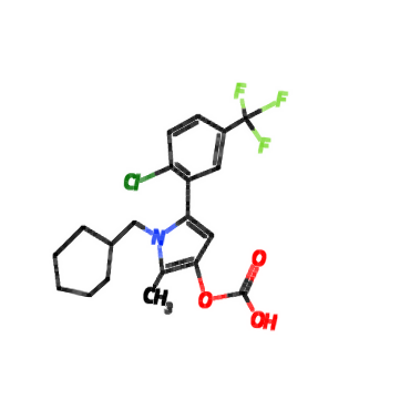 Cc1c(OC(=O)O)cc(-c2cc(C(F)(F)F)ccc2Cl)n1CC1CCCCC1